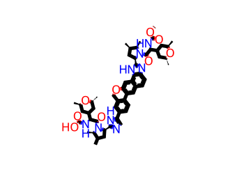 COC(=O)N[C@H](C(=O)N1[C@@H](c2nc3ccc4cc5c(cc4c3[nH]2)OCc2cc(-c3cnc([C@H]4CC(C)[C@@H](C)N4C(=O)[C@@H](NC(=O)O)C4C[C@@H](C)O[C@H](C)C4)[nH]3)ccc2-5)C[C@@H](C)[C@H]1C)C1C[C@@H](C)O[C@H](C)C1